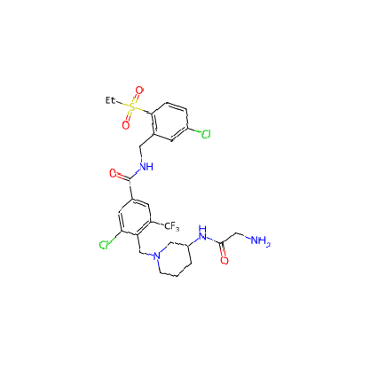 CCS(=O)(=O)c1ccc(Cl)cc1CNC(=O)c1cc(Cl)c(CN2CCCC(NC(=O)CN)C2)c(C(F)(F)F)c1